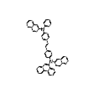 C(=C\c1ccc(N(c2ccc3ccccc3c2)c2cc3ccccc3c3ccccc23)cc1)/c1ccc(N(c2ccccc2)c2ccc3ccccc3c2)cc1